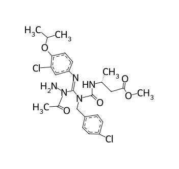 COC(=O)C[C@@H](C)NC(=O)N(Cc1ccc(Cl)cc1)/C(=N/c1ccc(OC(C)C)c(Cl)c1)N(N)C(C)=O